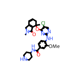 COc1cc(C(=O)NC2CCNCC2)ccc1Nc1ncc(Cl)c(OC2(C)CC=CC3=C2C(=O)N(C)C3)n1